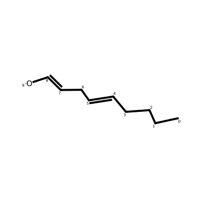 CCCCC=CCC=C[O]